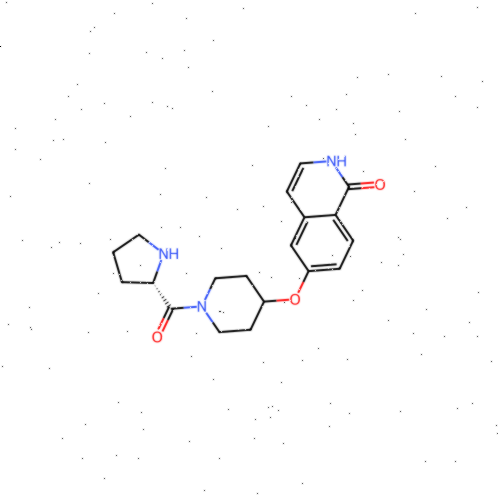 O=C([C@@H]1CCCN1)N1CCC(Oc2ccc3c(=O)[nH]ccc3c2)CC1